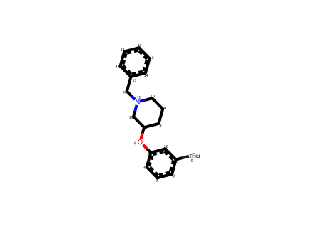 CC(C)(C)c1cccc(OC2CCCN(Cc3ccccc3)C2)c1